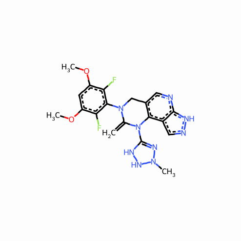 C=C1N(c2c(F)c(OC)cc(OC)c2F)Cc2cnc3[nH]ncc3c2N1C1=NN(C)NN1